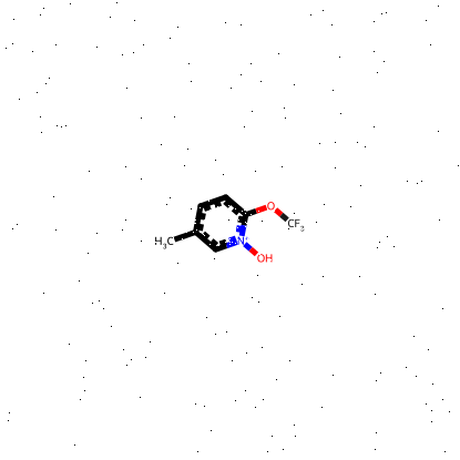 Cc1ccc(OC(F)(F)F)[n+](O)c1